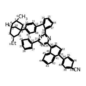 CC[C@H]1C[C@H]2C[C@@H](C)CC(c3ccc(-c4ccccc4-c4nc(-c5ccccc5)nc(-c5ccc(-c6ccc(C#N)cc6)c6ccccc56)n4)cc3)(C2)C1